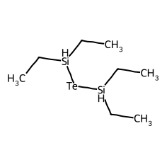 CC[SiH](CC)[Te][SiH](CC)CC